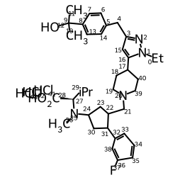 CCn1nc(Cc2ccc(C(C)(C)O)cc2)cc1C1CCN(CC2CC(N(C)[C@@H](C(=O)O)C(C)C)CC2c2cccc(F)c2)CC1.Cl.Cl.Cl